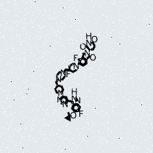 CC1(Oc2cc3c(-c4cc(N5CCC(CN6CCN(CC7(F)CCN(c8ccc9c(c8F)CN(C8CCC(=O)NC8=O)C9=O)CC7)CC6)CC5)ncn4)[nH]nc3cc2F)CC1